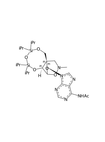 CC(=O)Nc1ncnc2c1ncn2[C@@H]1O[C@]23CO[Si](C(C)C)(C(C)C)O[Si](C(C)C)(C(C)C)O[C@@H]2C1ON(C)C3